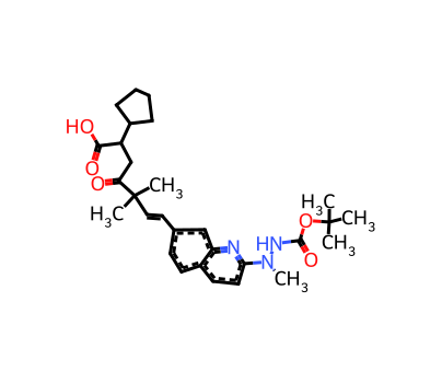 CN(NC(=O)OC(C)(C)C)c1ccc2ccc(/C=C/C(C)(C)C(=O)CC(C(=O)O)C3CCCC3)cc2n1